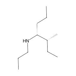 CCCN[C@H](CCC)[C@H](C)CC